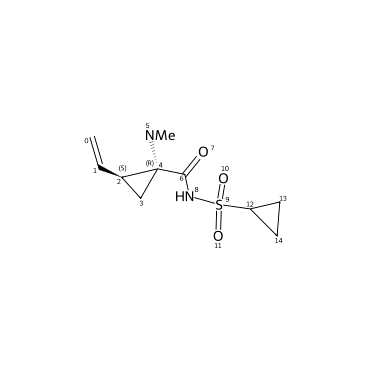 C=C[C@@H]1C[C@]1(NC)C(=O)NS(=O)(=O)C1CC1